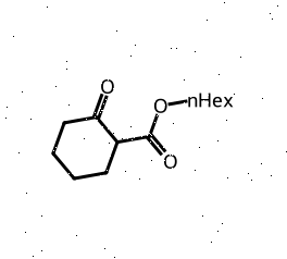 CCCCCCOC(=O)C1CCCCC1=O